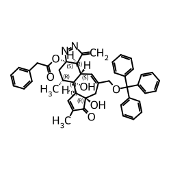 C=C1N=N[C@]2(OC(=O)Cc3ccccc3)C[C@@H](C)[C@@]3(O)[C@@H](C=C(COC(c4ccccc4)(c4ccccc4)c4ccccc4)C[C@]4(O)C(=O)C(C)=C[C@@H]34)[C@H]12